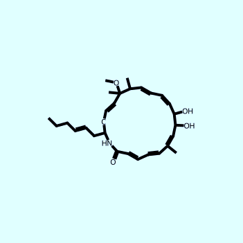 CCC/C=C/CC1C/C=C/C(C)(OC)C(C)/C=C/C=C\C(O)C(O)\C=C(C)/C=C/C=C/C(=O)N1